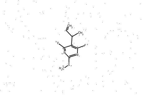 C=CC(C)c1c(F)nc(SC)nc1F